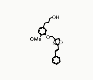 COc1ccc(CCCO)cc1OCc1coc(C=Cc2ccccc2)n1